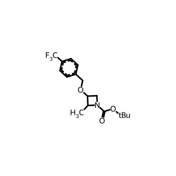 CC1C(OCc2ccc(C(F)(F)F)cc2)CN1C(=O)OC(C)(C)C